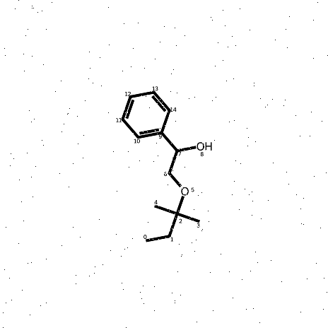 CCC(C)(C)OCC(O)c1ccccc1